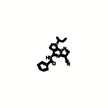 CCC(C)N1CCc2c(NC(=O)c3ccccc3)nc3c(C#N)cnn3c21